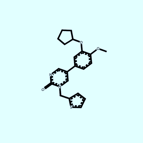 COc1ccc(-c2cnc(=O)n(Cc3cccs3)c2)cc1OC1CCCC1